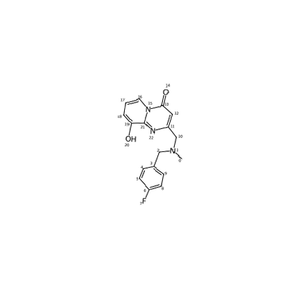 CN(Cc1ccc(F)cc1)Cc1cc(=O)n2cccc(O)c2n1